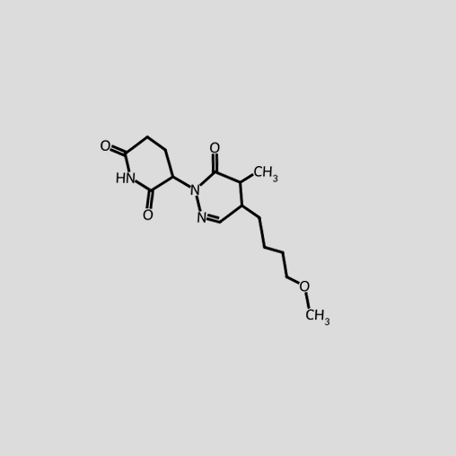 COCCCCC1C=NN(C2CCC(=O)NC2=O)C(=O)C1C